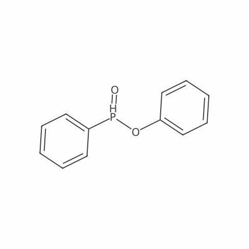 O=[PH](Oc1ccccc1)c1ccccc1